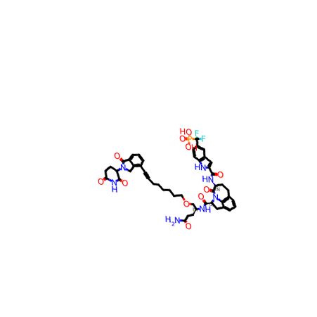 NC(=O)CC[C@@H](COCCCCCCC#Cc1cccc2c1CN(C1CCC(=O)NC1=O)C2=O)NC(=O)[C@@H]1Cc2cccc3c2N1C(=O)[C@@H](NC(=O)c1cc2cc(C(F)(F)P(=O)(O)O)ccc2[nH]1)CC3